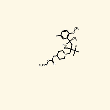 CCOC(=O)CC1CCN(CC(O)(CC(C)(C)c2cc(F)ccc2OC)C(F)(F)F)CC1